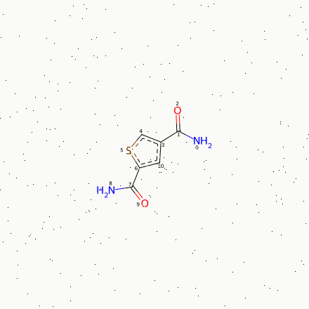 NC(=O)c1csc(C(N)=O)c1